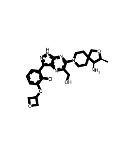 C[C@@H]1OCC2(CCN(c3nc4[nH]nc(-c5cccc(OC6COC6)c5Cl)c4nc3CO)CC2)[C@@H]1N